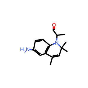 CC1=CC(C)(C)N(C(C)C=O)c2ccc(N)cc21